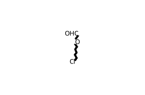 O=CCCOCCCCCCCl